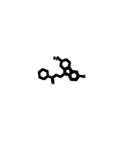 CN1CCc2c(n(CCC(=O)N3CCCCC3)c3ccc(Cl)cc23)C1